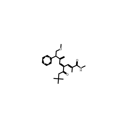 C=C(/C=C(\C=C(/C)C(=O)NC)C(=O)CC(C)(C)C)C(COC)c1ccccc1